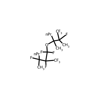 CCCC(C)(F)C(F)(C(F)(F)F)C(F)(F)OC(C)(CCC)C(C)(F)C(F)(F)F